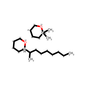 CCCCCCCC(C)[SiH]1CCCCO1.C[Si]1(C)CCCCO1